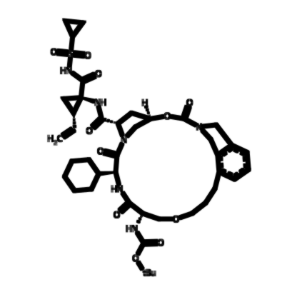 C=C[C@@H]1C[C@]1(NC(=O)[C@@H]1C[C@@H]2CN1C(=O)[C@H](C1CCCCC1)NC(=O)[C@@H](NC(=O)OC(C)(C)C)COCCCc1cccc3c1CN(C3)C(=O)O2)C(=O)NS(=O)(=O)C1CC1